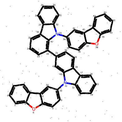 c1ccc2c(c1)oc1ccc(-n3c4ccccc4c4ccc(-c5cccc6c7ccccc7n(-c7ccc8oc9ccccc9c8c7)c56)cc43)cc12